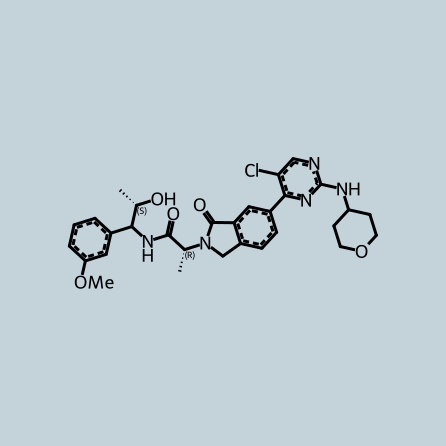 COc1cccc(C(NC(=O)[C@@H](C)N2Cc3ccc(-c4nc(NC5CCOCC5)ncc4Cl)cc3C2=O)[C@H](C)O)c1